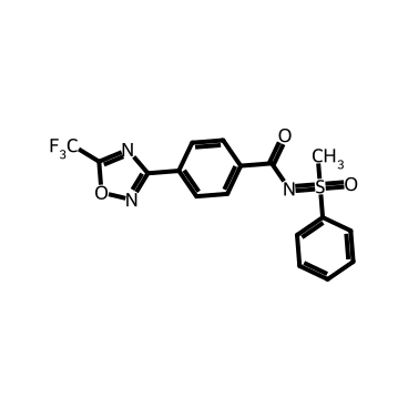 CS(=O)(=NC(=O)c1ccc(-c2noc(C(F)(F)F)n2)cc1)c1ccccc1